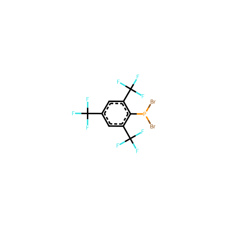 FC(F)(F)c1cc(C(F)(F)F)c(P(Br)Br)c(C(F)(F)F)c1